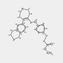 COC(=O)CCc1ccc(OCC2=C(c3ccc4c(c3)CCCC4)CCCCC2)cc1